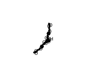 C=CC(=O)OCCCCOc1ccc(C=CC(=O)Nc2ccc(OC(=O)C=Cc3ccc(OCCCCOC(=O)C=C)cc3)cc2C(F)(F)F)cc1